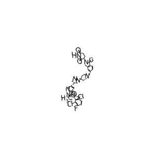 CC(Oc1cc(-c2cnn(C3CCN(Cc4ccc5c(c4)CN(C4CCC(=O)NC4=O)C5=O)CC3)c2)cnc1N)c1c(Cl)ccc(F)c1Cl